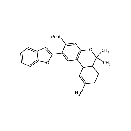 CCCCCc1cc2c(cc1-c1cc3ccccc3o1)C1C=C(C)CCC1C(C)(C)O2